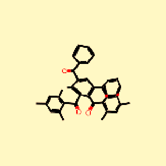 Cc1cc(C)c(C(=O)c2c(-c3ccccc3)cc(C(=O)c3ccccc3)c(C)c2C(=O)c2c(C)cc(C)cc2C)c(C)c1